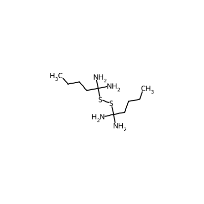 CCCCC(N)(N)SSC(N)(N)CCCC